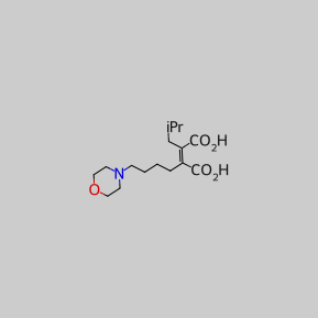 CC(C)CC(C(=O)O)=C(CCCCN1CCOCC1)C(=O)O